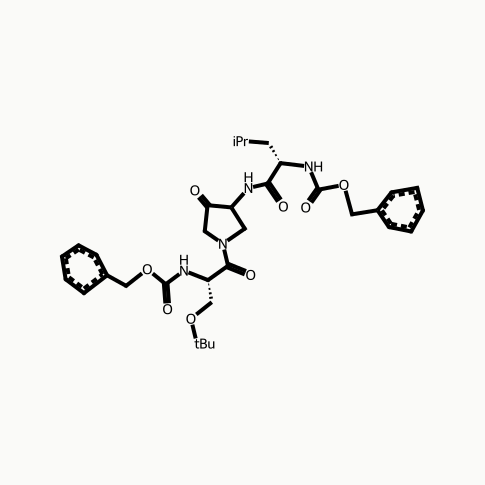 CC(C)C[C@H](NC(=O)OCc1ccccc1)C(=O)NC1CN(C(=O)[C@H](COC(C)(C)C)NC(=O)OCc2ccccc2)CC1=O